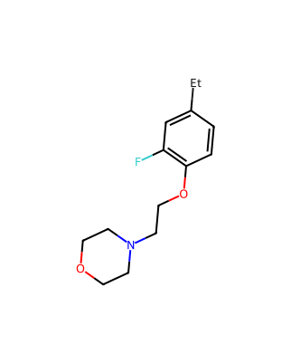 CCc1ccc(OCCN2CCOCC2)c(F)c1